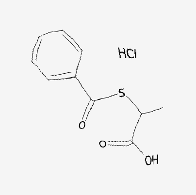 CC(SC(=O)c1ccccc1)C(=O)O.Cl